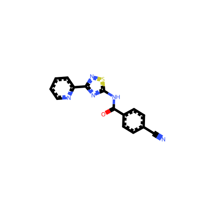 N#Cc1ccc(C(=O)Nc2nc(-c3ccccn3)ns2)cc1